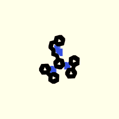 c1ccc2c(c1)ccc1cc(-c3cc(-n4c5ccccc5c5ccccc54)cc(-n4c5ccccc5c5ccccc54)c3)nn12